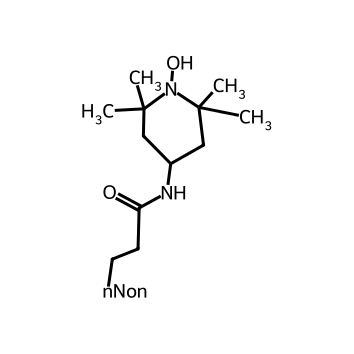 CCCCCCCCCCCC(=O)NC1CC(C)(C)N(O)C(C)(C)C1